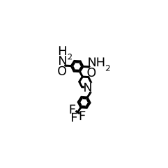 NC(=O)c1ccc(C(N)=O)c(C2CCN(Cc3ccc(C(F)(F)F)cc3)CC2)c1